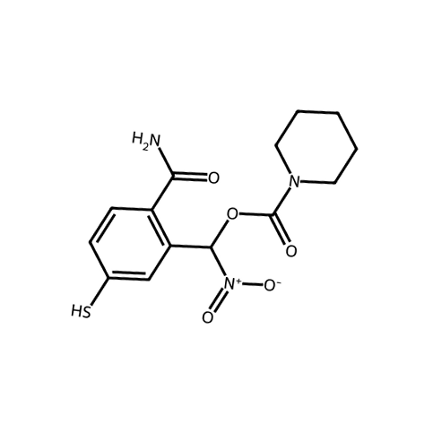 NC(=O)c1ccc(S)cc1C(OC(=O)N1CCCCC1)[N+](=O)[O-]